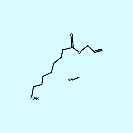 C=CCOC(=O)CCCCCCCCCCCCCCCCC.CCCC